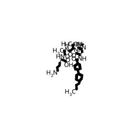 CCCCc1ccc(-c2ccc(C(=O)N[C@@H](Cc3c[nH]cn3)C(=O)N[C@H](C(=O)N[C@@H](C)C(=O)N[C@@H](CCCCN)C(=O)O)[C@@H](C)O)cc2)cc1